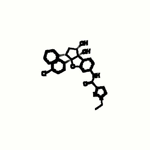 CCn1ccc(C(=O)Nc2ccc3c(c2)O[C@@]2(c4ccc(Cl)cc4)[C@H](c4ccccc4)C[C@H](O)[C@@]32O)n1